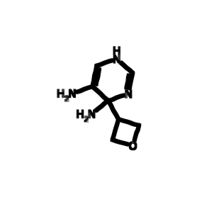 NC1=CNC=NC1(N)C1COC1